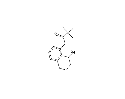 [2H]C1CCCc2cccc(CC(=O)C(C)(C)C)c21